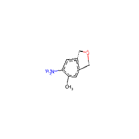 Cc1cc2c(cc1N)COC2